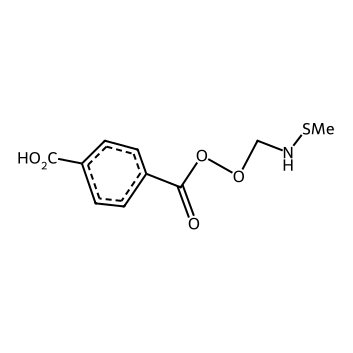 CSNCOOC(=O)c1ccc(C(=O)O)cc1